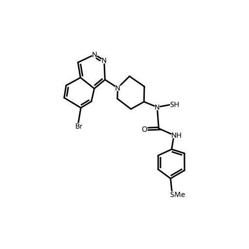 CSc1ccc(NC(=O)N(S)C2CCN(c3nncc4ccc(Br)cc34)CC2)cc1